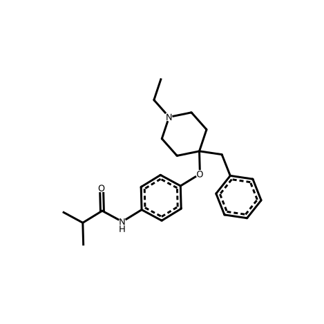 CCN1CCC(Cc2ccccc2)(Oc2ccc(NC(=O)C(C)C)cc2)CC1